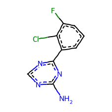 Nc1ncnc(-c2cccc(F)c2Cl)n1